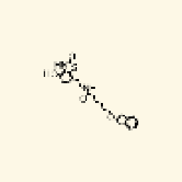 O=C(CCCCCOC1Cc2ccccc2C1)NCCc1ccc(O)c2[nH]c(=O)sc12